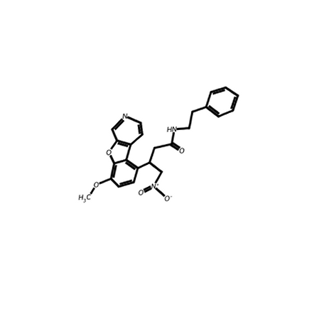 COc1ccc(C(CC(=O)NCCc2ccccc2)C[N+](=O)[O-])c2c1oc1cnccc12